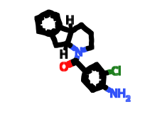 Nc1ccc(C(=O)N2CCC[C@H]3c4ccccc4C[C@H]32)cc1Cl